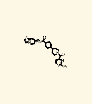 CC(C)c1nccc(C(=O)N2CCC(c3ccc(C(=O)NCc4ccn5ccnc5c4)cc3)CC2)n1